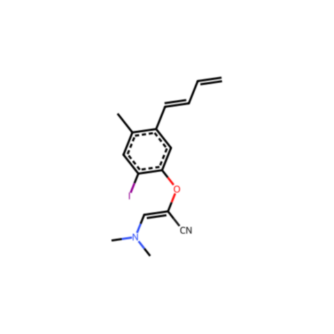 C=CC=Cc1cc(OC(C#N)=CN(C)C)c(I)cc1C